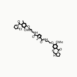 CC[C@@H]1CCCN1C(=O)c1cc(OC)c(OCCCNC(=O)c2ccc(C(=O)NCCCOc3cc4c(cc3OC)C(=O)N3CCC[C@H]3C=N4)n2C)cc1C